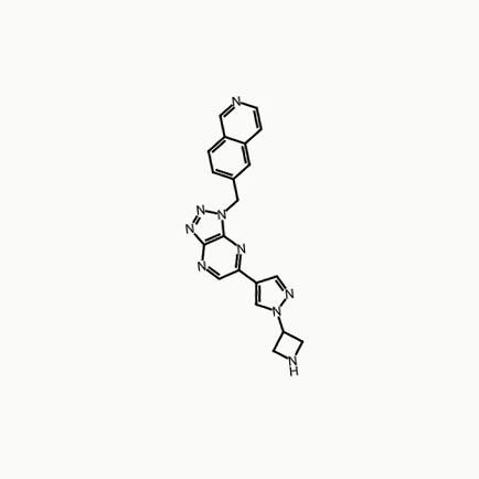 c1cc2cc(Cn3nnc4ncc(-c5cnn(C6CNC6)c5)nc43)ccc2cn1